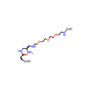 CN(C/C(N)=C/NCCOCCOCCOCCNC=O)C(=O)/C=C\C=O